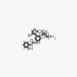 Cn1ncc(Br)c1-c1cc(NC(=O)Nc2ccccc2F)ccc1OC(C)(C)CCN